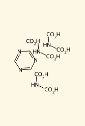 O=C(O)NC(=O)O.O=C(O)NC(=O)O.O=C(O)NC(=O)O.c1ncncn1